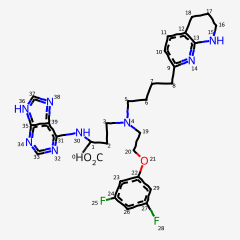 O=C(O)C(CCN(CCCCc1ccc2c(n1)NCCC2)CCOc1cc(F)cc(F)c1)Nc1ncnc2[nH]cnc12